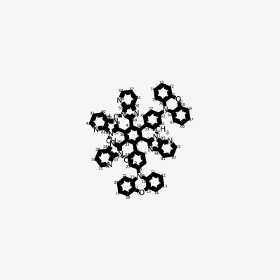 Cn1c(-c2c(-c3ccc(N4c5ccccc5Oc5ccccc54)cc3)c(-c3nc4cccnc4n3C)c(-c3nc4cccnc4n3C)c(-c3nc4cccnc4n3C)c2-c2ccc(N3c4ccccc4Oc4ccccc43)cc2)nc2cccnc21